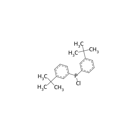 CC(C)(C)c1cccc(P(Cl)c2cccc(C(C)(C)C)c2)c1